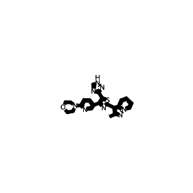 Cc1nn2ccccc2c1-c1nc(-c2ccc(N3CCOCC3)nc2)c(-c2nc[nH]n2)s1